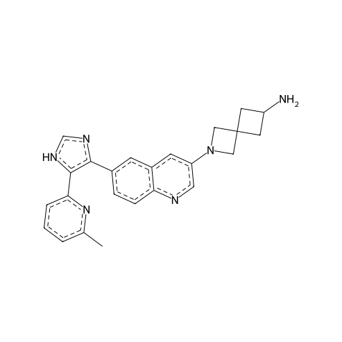 Cc1cccc(-c2[nH]cnc2-c2ccc3ncc(N4CC5(CC(N)C5)C4)cc3c2)n1